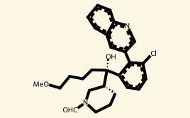 COCCCC[C@@](O)(c1cccc(Cl)c1-c1cnc2ccccc2c1)[C@@H]1CCCN(C=O)C1